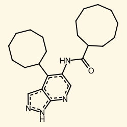 O=C(Nc1cnc2[nH]ncc2c1C1CCCCCCC1)C1CCCCCCCC1